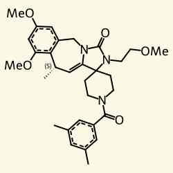 COCCN1C(=O)N2Cc3cc(OC)cc(OC)c3[C@@H](C)C=C2C12CCN(C(=O)c1cc(C)cc(C)c1)CC2